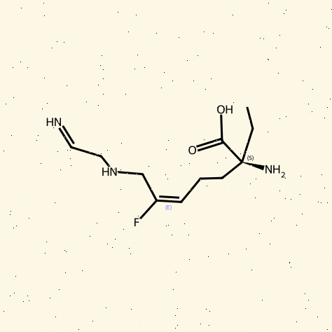 CC[C@](N)(CC/C=C(/F)CNCC=N)C(=O)O